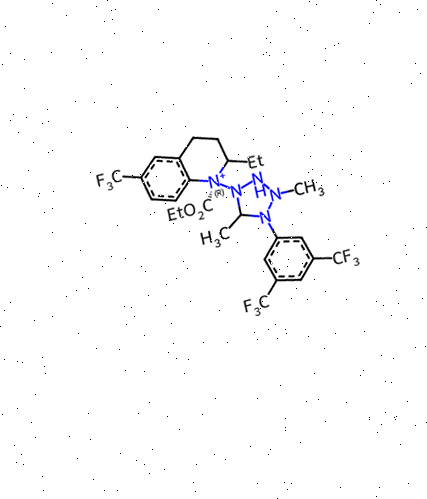 CCOC(=O)[N@+]1(N2NN(C)N(c3cc(C(F)(F)F)cc(C(F)(F)F)c3)C2C)c2ccc(C(F)(F)F)cc2CCC1CC